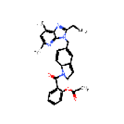 CCc1nc2c(C)cc(C)nc2n1CC1=CC2=CCN(C(=O)c3ccccc3OC(C)=O)C2C=C1